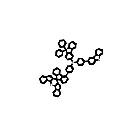 c1ccc(C2(c3ccccc3)c3ccccc3-c3cc(N(c4ccc(-c5ccc6oc7ccccc7c6c5)cc4)c4ccc(-c5cccc6c5-c5ccccc5C65c6ccc7ccccc7c6Oc6c5ccc5ccccc65)cc4)ccc32)cc1